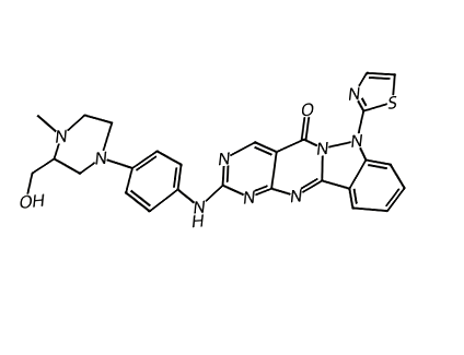 CN1CCN(c2ccc(Nc3ncc4c(=O)n5c(nc4n3)c3ccccc3n5-c3nccs3)cc2)CC1CO